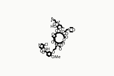 COc1ccc(C(=O)Nc2c(Cl)cncc2Cl)cc1OCCCN1C(=O)O[C@]2(C)[C@@H](I)OC(=O)[C@H](C)[C@@H](OC(=O)CN3CCOCC3)[C@H](C)[C@@H](O[C@@H]3O[C@H](C)C[C@H](N(C)C(=O)CN(C)C)[C@H]3O)[C@@]3(C)C[C@@H](CO3)C(=O)[C@H](C)[C@@H]12